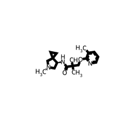 Cc1cccnc1OCC(C)(C)C(=O)N[C@H]1CN(C)CC12CC2